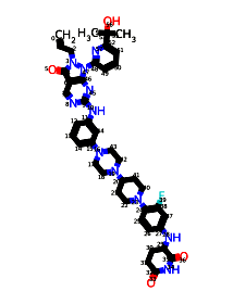 C=CCn1c(=O)c2cnc(Nc3cccc(N4CCN(C5CCN(c6ccc(NC7CCC(=O)NC7=O)cc6F)CC5)CC4)c3)nc2n1-c1cccc(C(C)(C)O)n1